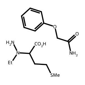 CCN(N)C(CCSC)C(=O)O.NC(=O)COc1ccccc1